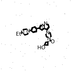 CCN1CCN(c2ccc(-c3cc4c(N5CCN(C(=O)[C@H]6C[C@H](O)C6)CC5)ccnn4c3)cc2)CC1